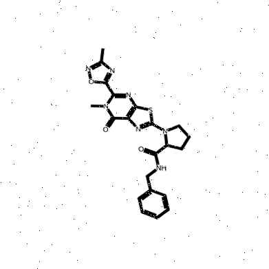 Cc1noc(-c2nc3sc(N4CCCC4C(=O)NCc4ccccc4)nc3c(=O)n2C)n1